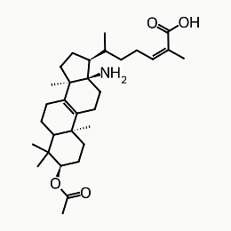 CC(=O)O[C@@H]1CC[C@]2(C)C3=C(CCC2C1(C)C)[C@@]1(C)CC[C@@H](C(C)CC/C=C(/C)C(=O)O)[C@]1(N)CC3